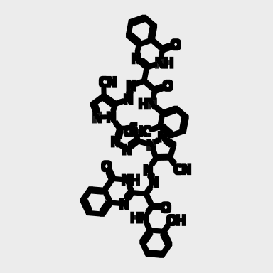 N#Cc1cnn(-c2nnc(-n3ncc(C#N)c3N=NC(C(=O)Nc3ccccc3C=O)c3nc4ccccc4c(=O)[nH]3)s2)c1N=NC(C(=O)Nc1ccccc1O)c1nc2ccccc2c(=O)[nH]1